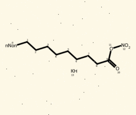 CCCCCCCCCCCCCCCCCC(=O)O[N+](=O)[O-].[KH]